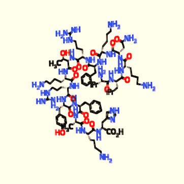 CC(C)C[C@H](NC(=O)[C@@H](N)C(C)C)C(=O)N[C@@H](CCCCN)C(=O)N[C@@H](CC(N)=O)C(=O)N[C@@H](CCCCN)C(=O)N[C@@H](Cc1ccccc1)C(=O)N[C@@H](CCCNC(=N)N)C(=O)N[C@H](C(=O)N[C@@H](CCCCN)C(=O)N[C@@H](CCCNC(=N)N)C(=O)N[C@@H](Cc1ccc(O)cc1)C(=O)N[C@@H](Cc1ccccc1)C(=O)N[C@@H](C)C(=O)N[C@@H](CCCCN)C(=O)N[C@@H](Cc1c[nH]cn1)C(=O)O)[C@@H](C)O